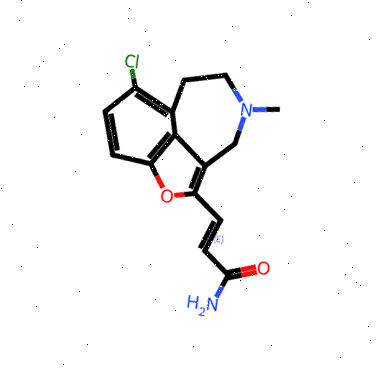 CN1CCc2c(Cl)ccc3oc(/C=C/C(N)=O)c(c23)C1